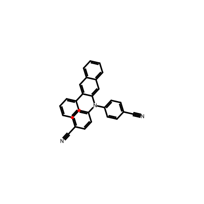 N#Cc1ccc(N(c2ccc(C#N)cc2)c2cc3ccccc3cc2-c2ccccc2)cc1